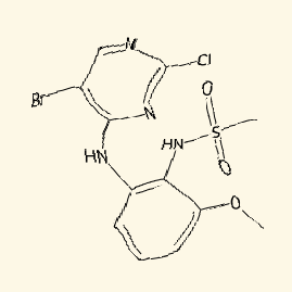 COc1cccc(Nc2nc(Cl)ncc2Br)c1NS(C)(=O)=O